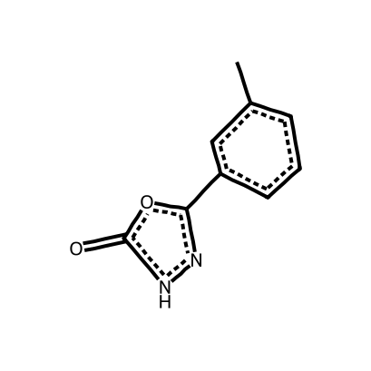 Cc1cccc(-c2n[nH]c(=O)o2)c1